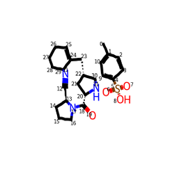 Cc1ccc(S(=O)(=O)O)cc1.N#C[C@@H]1CCCN1C(=O)[C@@H]1C[C@H](CC2=CCCCC2)CN1